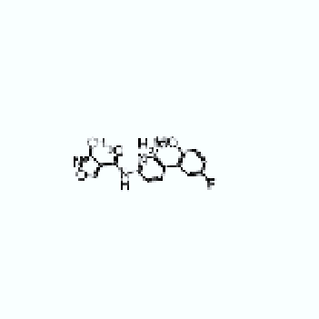 Cc1nocc1C(=O)Nc1ccc(-c2cc(F)ccc2O)c(N)n1